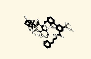 COc1c(CN2O[C@@H](CO)[C@@H]([C@H](C)O)[C@H]2C(=O)N[C@H]2C[C@H]3C[C@@H]([C@@H]2C)C3(C)C)cccc1-c1cc(C(=O)NCCCc2ccccc2)cc(N(C)C)c1